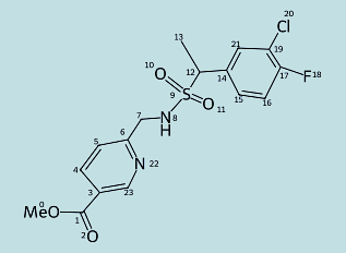 COC(=O)c1ccc(CNS(=O)(=O)C(C)c2ccc(F)c(Cl)c2)nc1